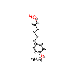 CCCCCCOc1ccc(CCCCC[CH]O)cc1